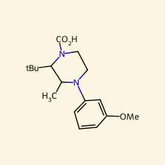 COc1cccc(N2CCN(C(=O)O)C(C(C)(C)C)C2C)c1